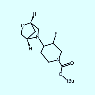 CC(C)(C)OC(=O)N1CCC(N2C[C@@H]3C[C@H]2CO3)C(F)C1